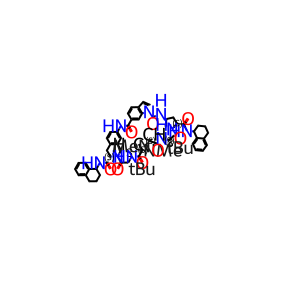 CN[C@@H](C)C(=O)NC(C(=O)N1Cc2cc(NC(=O)c3ccc4ccn(C(=O)NC5C[C@@H](C(=O)NC6CCCc7ccccc76)N(C(=O)[C@@H](NC(=O)[C@H](C)NC)C(C)(C)C)C5)c4c3)ccc2C[C@H]1C(=O)NC1CCCc2ccccc21)C(C)(C)C